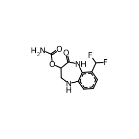 NC(=O)OC1CNc2cccc(C(F)F)c2NC1=O